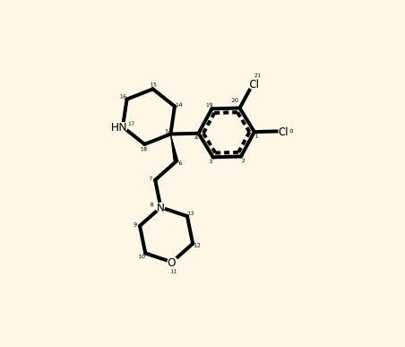 Clc1ccc([C@@]2(CCN3CCOCC3)CCCNC2)cc1Cl